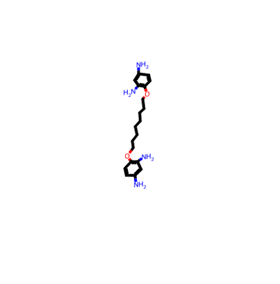 Nc1ccc(OCCCCCCCCOc2ccc(N)cc2N)c(N)c1